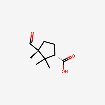 CC1(C)[C@@H](C(=O)O)CC[C@@]1(C)C=O